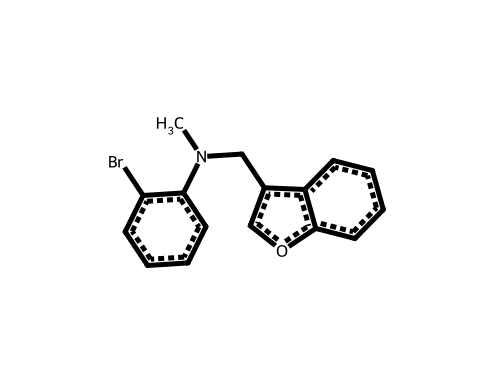 CN(Cc1coc2ccccc12)c1ccccc1Br